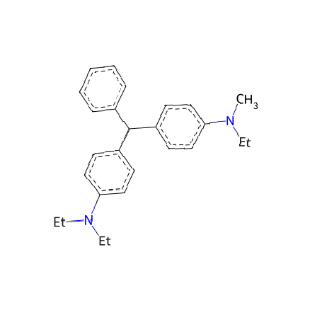 CCN(C)c1ccc(C(c2ccccc2)c2ccc(N(CC)CC)cc2)cc1